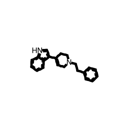 C1=C(c2c[nH]c3ccccc23)CCN(CCc2ccccc2)C1